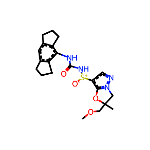 COCC1(C)Cn2ncc([S+]([O-])NC(=O)Nc3c4c(cc5c3CCC5)CCC4)c2O1